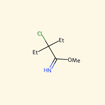 CCC(Cl)(CC)C(=N)OC